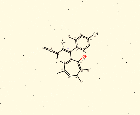 C=C=C(C)/C(C(C)=O)=C(\C1=C(C)C(C)=CC(C)C(C)=C1O)c1ccc(C#N)cc1C